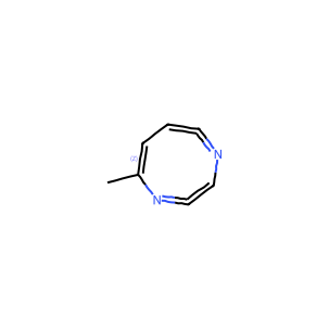 C/C1=C/C=C=NC=C=N1